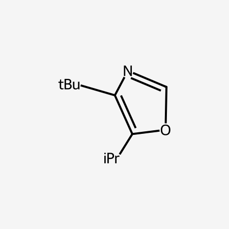 CC(C)c1ocnc1C(C)(C)C